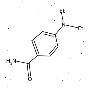 CCN(CC)c1ccc(C(N)=O)cc1